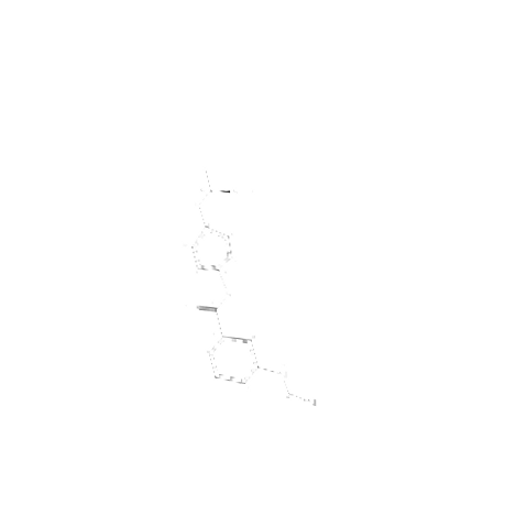 CC(=O)N[C@@H](Cc1ccc(NC(=O)c2cccc(NCN)c2)cc1)C(=O)O